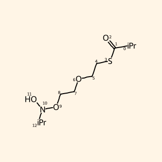 CC(C)C(=O)SCCOCCON(O)C(C)C